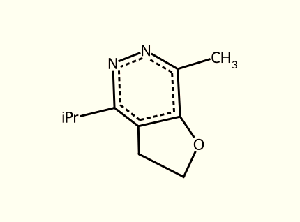 Cc1nnc(C(C)C)c2c1OCC2